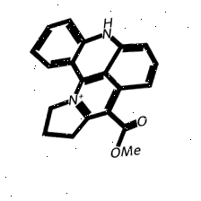 COC(=O)c1c2[n+](c3c4c(cccc14)Nc1ccccc1-3)CCC2